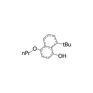 CCCOc1ccc(O)c2c(C(C)(C)C)cccc12